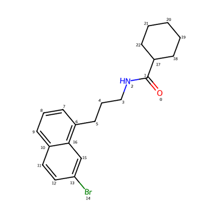 O=C(NCCCc1cccc2ccc(Br)cc12)C1CCCCC1